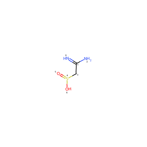 N=C(N)CS(=O)O